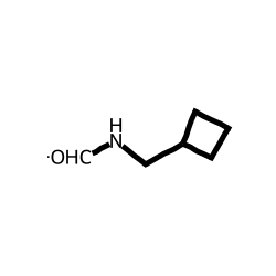 O=[C]NCC1CCC1